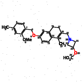 COc1cc(C)ccc1COc1ccc2c(c1)CCC(CN1CC(OC(=O)O)C1)=C2C